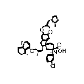 C[C@@H](COc1ccnc2c1[C@H](C)CCC2)C[C@H]1Cc2cc3c(cc2C12CCC(Nc1cccc(Cl)c1)(C(=O)O)CC2)OCC(CN1CCC[C@H]1C)CO3